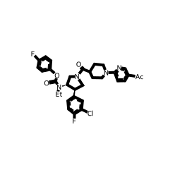 CCN(C(=O)Oc1ccc(F)cc1)[C@@H]1CN(C(=O)C2CCN(c3ccc(C(C)=O)cn3)CC2)C[C@H]1c1ccc(F)c(Cl)c1